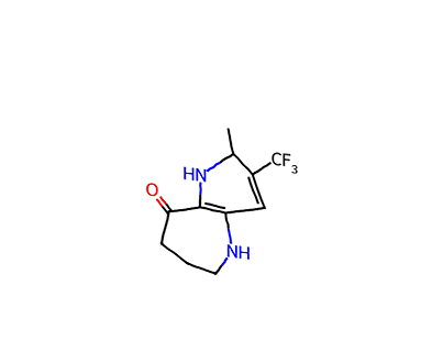 CC1NC2=C(C=C1C(F)(F)F)NCCCC2=O